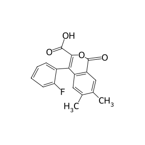 Cc1cc2c(-c3ccccc3F)c(C(=O)O)oc(=O)c2cc1C